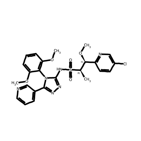 COc1cccc(OC)c1-n1c(NS(=O)(=O)[C@H](C)[C@@H](OC)c2ccc(Cl)cn2)nnc1-c1cccnc1